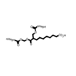 CCCCCCCC(=O)OCOC(=O)C(CCCCCCCC(=O)O)COC(=O)CCCCCCC